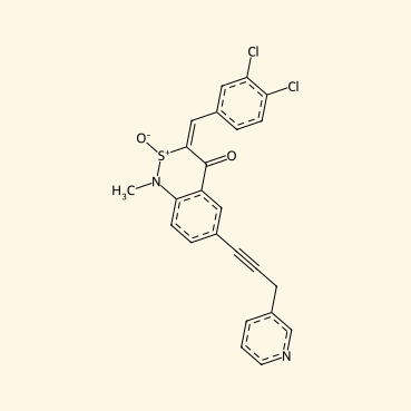 CN1c2ccc(C#CCc3cccnc3)cc2C(=O)/C(=C\c2ccc(Cl)c(Cl)c2)[S+]1[O-]